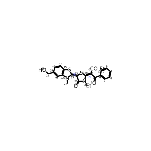 CCOC(=O)/C(C(=O)c1ccccc1)=c1\s/c(=C2\Sc3ccc(CO)cc3N2C)c(=O)n1CC